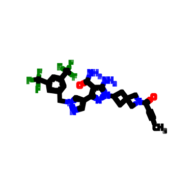 CC#CC(=O)N1CC2(CC(n3nc(-c4cnn(Cc5cc(C(F)(F)F)cc(C(F)(F)F)c5)c4)c(C(N)=O)c3N)C2)C1